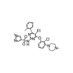 CCc1c(Oc2cccc(N3CCN(C)CC3)c2Cl)nc(NS(=O)(=O)c2cnn(C)c2)nc1-c1ccccc1C